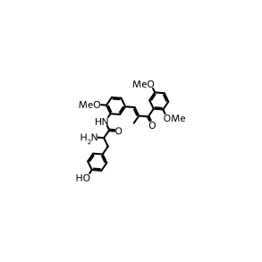 COc1ccc(OC)c(C(=O)C(C)=Cc2ccc(OC)c(NC(=O)C(N)Cc3ccc(O)cc3)c2)c1